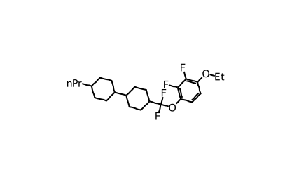 CCCC1CCC(C2CCC(C(F)(F)Oc3ccc(OCC)c(F)c3F)CC2)CC1